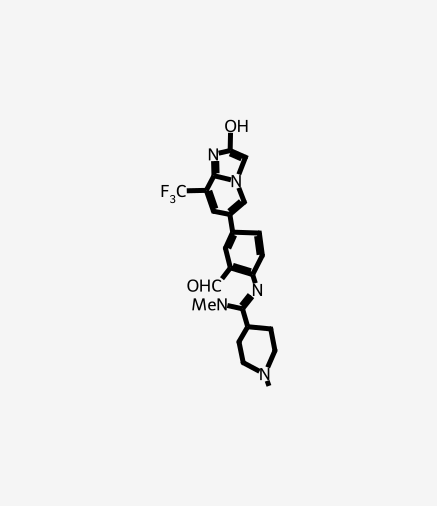 CN/C(=N\c1ccc(-c2cc(C(F)(F)F)c3nc(O)cn3c2)cc1C=O)C1CCN(C)CC1